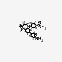 Cc1nnc2n1-c1ccc(-c3ccc(N)nc3)cc1N(c1ccc(C(N)=O)cc1)C[C@H]2I